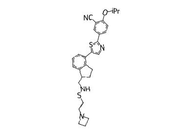 CC(C)Oc1ccc(-c2ncc(-c3cccc4c3CCC4CNSCCN3CCC3)s2)cc1C#N